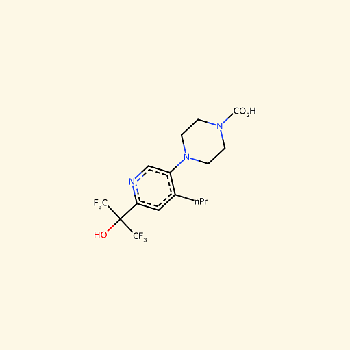 CCCc1cc(C(O)(C(F)(F)F)C(F)(F)F)ncc1N1CCN(C(=O)O)CC1